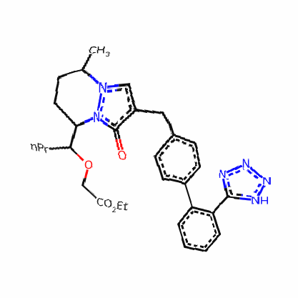 CCCC(OCC(=O)OCC)C1CCC(C)n2cc(Cc3ccc(-c4ccccc4-c4nnn[nH]4)cc3)c(=O)n21